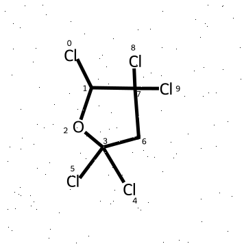 ClC1OC(Cl)(Cl)CC1(Cl)Cl